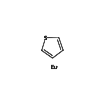 [Eu].c1ccsc1